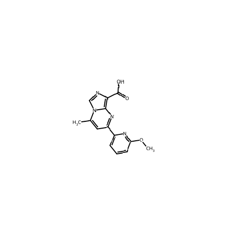 COc1cccc(-c2cc(C)n3cnc(C(=O)O)c3n2)n1